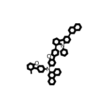 Cc1cccc2oc3cc(N(c4ccc5c(c4)oc4cc(-c6cccc7c8cc(-c9ccc%10ccccc%10c9)ccc8n(-c8ccccc8)c67)ccc45)c4cc5ccccc5c5ccccc45)ccc3c12